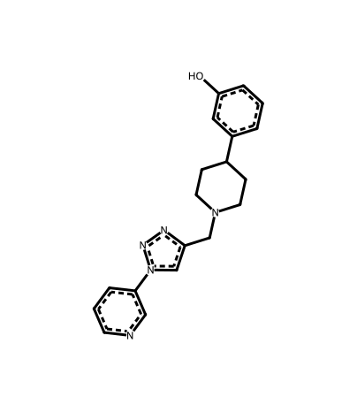 Oc1cccc(C2CCN(Cc3cn(-c4cccnc4)nn3)CC2)c1